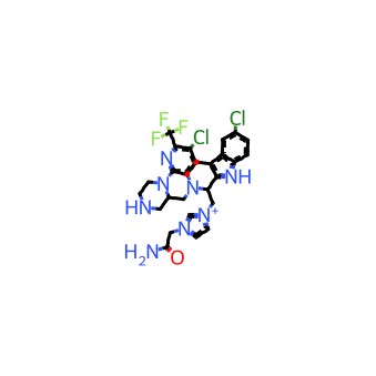 NC(=O)Cn1cc[n+](CC2c3[nH]c4ccc(Cl)cc4c3CCN2CC2CNCCN2c2ccc(Cl)c(C(F)(F)F)n2)c1